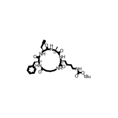 C#CC[C@@H]1NC(=O)[C@H](Cc2ccccc2)NC(=O)CCCNC(=O)[C@H](CCCCNC(=O)OC(C)(C)C)NC(=O)[C@H](C)NC1=O